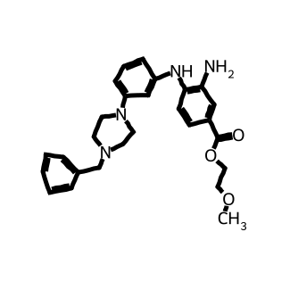 COCCOC(=O)c1ccc(Nc2cccc(N3CCN(Cc4ccccc4)CC3)c2)c(N)c1